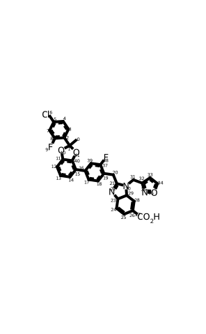 CC1(c2ccc(Cl)cc2F)Oc2cccc(-c3ccc(CC4=NC5C=CC(C(=O)O)=CC5N4Cc4ccon4)c(F)c3)c2O1